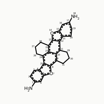 Nc1ccc2c(c1)oc1c3c4c(c5c(oc6cc(N)ccc65)c5c4c(c12)CCC5)CCC3